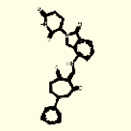 O=C1CCC(N2Cc3c(N/C=C4\C(=O)CCC(c5ccccc5)CC4=O)cccc3C2=O)C(=O)N1